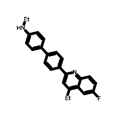 CCNc1ccc(-c2ccc(-c3cc(CC)c4cc(F)ccc4n3)cc2)cc1